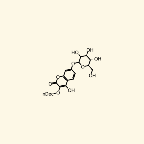 CCCCCCCCCCOc1c(O)c2ccc(OC3O[C@H](CO)[C@@H](O)[C@H](O)[C@@H]3O)cc2oc1=O